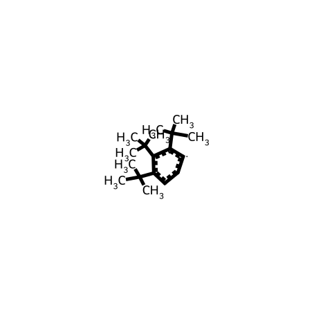 CC(C)(C)c1[c]ccc(C(C)(C)C)c1C(C)(C)C